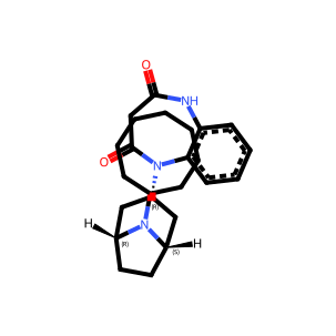 O=C1CC(=O)N([C@H]2C[C@H]3CC[C@@H](C2)N3C2CCCCCCC2)c2ccccc2N1